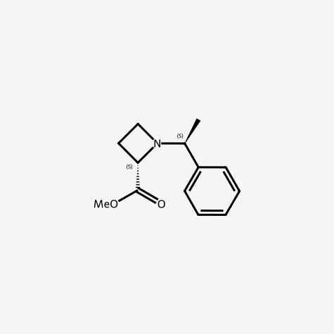 COC(=O)[C@@H]1CCN1[C@@H](C)c1ccccc1